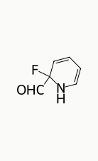 O=CC1(F)C=CC=CN1